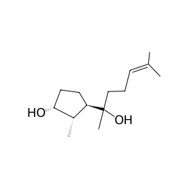 CC(C)=CCCC(C)(O)[C@@H]1CC[C@@H](O)[C@H]1C